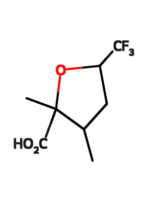 CC1CC(C(F)(F)F)OC1(C)C(=O)O